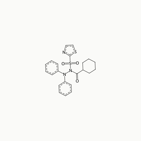 O=C(C1CCCCC1)N(N(c1ccccc1)c1ccccc1)S(=O)(=O)c1nccs1